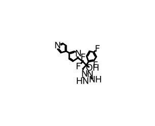 N=CN(CC(O)(c1ccc(F)cc1F)C(F)(F)c1ccc(-c2ccncc2)cn1)N=N